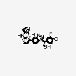 Cn1nccc1Nc1nccc(-c2ccc3c(c2)nnn3[C@H](CO)c2ccc(Cl)c(F)c2)n1